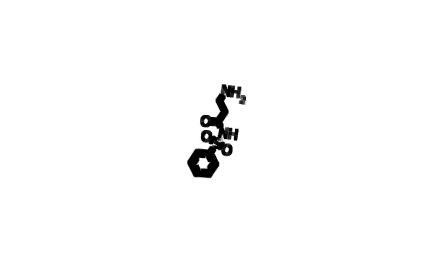 NCCC(=O)NS(=O)(=O)c1ccccc1